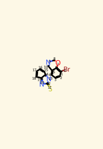 Brc1cccc2c1OCN=C2.S=C1N=c2ccccc2=N1